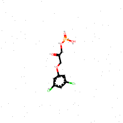 O=C(COc1cc(Cl)cc(Cl)c1)CO[PH](=O)O